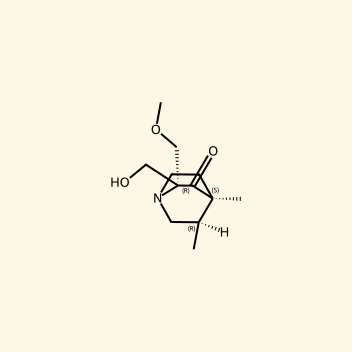 COC[C@]1(CO)C(=O)[C@@]2(C)CCN1C[C@@H]2C